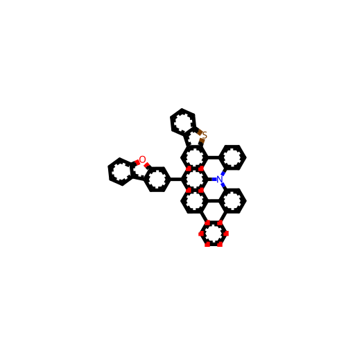 c1ccc(-c2ccccc2-c2c(-c3ccccc3)cccc2N(c2ccc(-c3ccc4c(c3)oc3ccccc34)cc2)c2ccccc2-c2cccc3c2sc2ccccc23)cc1